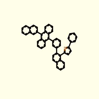 c1ccc(-c2ccc(-c3c(-c4cccc(-c5c6ccccc6c(-c6ccc7ccccc7c6)c6ccccc56)c4)ccc4ccccc34)s2)cc1